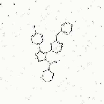 O=C(N1CCCCC1)n1nnc(-c2ccc(F)cc2)c1-c1ccnc(Oc2ccccc2)n1